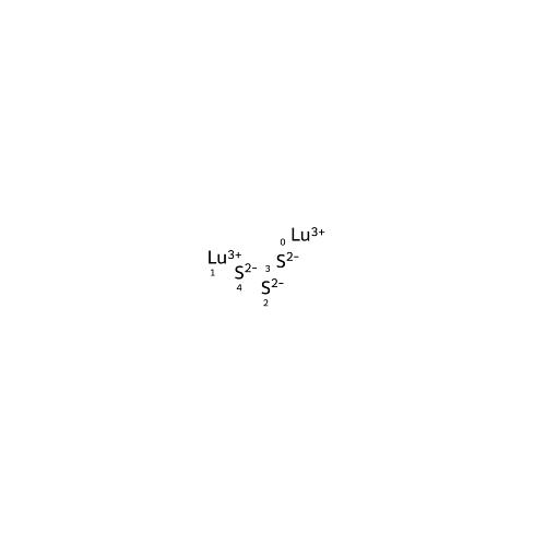 [Lu+3].[Lu+3].[S-2].[S-2].[S-2]